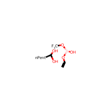 C=COB(O)OC(F)(F)F.CCCCCC(O)O